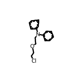 ClCCOCCN(c1ccccc1)c1ccccc1